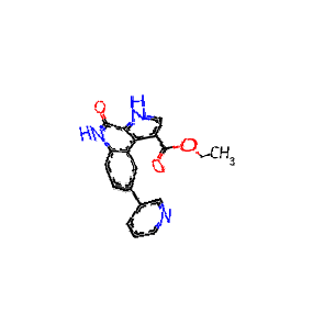 CCOC(=O)c1c[nH]c2c(=O)[nH]c3ccc(-c4cccnc4)cc3c12